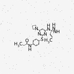 C/C=C/C1(Nc2cc(N3CCC3)nc(Sc3ccc(NC(=O)CC)cc3)n2)NN1